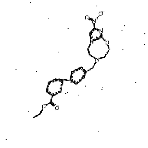 CCOC(=O)c1cccc(-c2ccc(CN3CCOc4nc([N+](=O)[O-])cn4CC3)cc2)c1